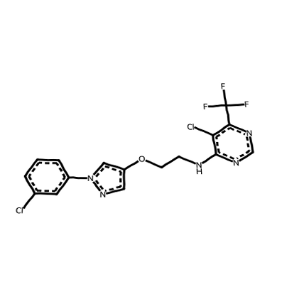 FC(F)(F)c1ncnc(NCCOc2cnn(-c3cccc(Cl)c3)c2)c1Cl